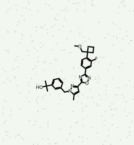 COCC1(c2ccc(-c3noc(-c4cc(C)n(Cc5cccc(C(C)(C)O)c5)n4)n3)cc2F)CCC1